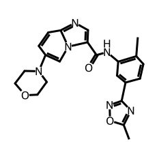 Cc1nc(-c2ccc(C)c(NC(=O)c3cnc4ccc(N5CCOCC5)cn34)c2)no1